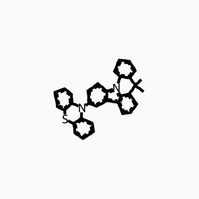 CC1(C)c2ccccc2-n2c3ccc(N4c5ccccc5Sc5ccccc54)cc3c3cccc1c32